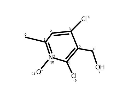 Cc1cc(Cl)c(CO)c(Cl)[n+]1[O-]